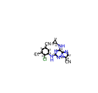 C[CH]c1cc(C#N)cc(Nc2nc(NC3CC3)c3ncc(C#N)n3n2)c1Cl